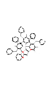 CC1=C(C)C(C)C([Si](c2cc(C)c(C)c(Cc3ccccc3)c2Cc2ccccc2)(c2cc(C)c(C)c(Cc3ccccc3)c2Cc2ccccc2)c2cc(C)c(C)c(Cc3ccccc3)c2Cc2ccccc2)=C1C